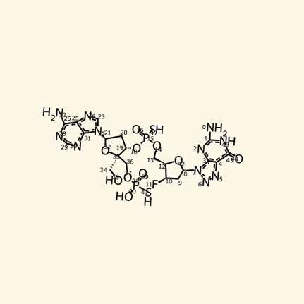 Nc1nc2c(nnn2[C@H]2C[C@@H](F)[C@@H](COP(=O)(S)O[C@H]3C[C@H](n4cnc5c(N)ncnc54)O[C@]3(CO)COP(=O)(O)S)O2)c(=O)[nH]1